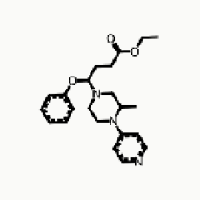 CCOC(=O)CCC(Oc1ccccc1)N1CCN(c2ccncc2)C(C)C1